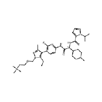 CCc1c(-c2ccc(NC(=O)[C@@H](NC(=O)c3ccnn3C(C)C)C3CCC(C)CC3)nc2F)c(C)nn1COCC[Si](C)(C)C